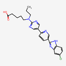 CCCN(CCCCC(=O)O)c1ncc(-c2ccc(-c3nc4cc(Cl)ccc4[nH]3)cn2)cn1